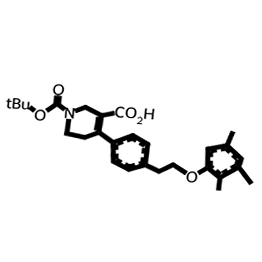 Cc1cc(C)c(C)c(OCCc2ccc(C3=C(C(=O)O)CN(C(=O)OC(C)(C)C)CC3)cc2)c1